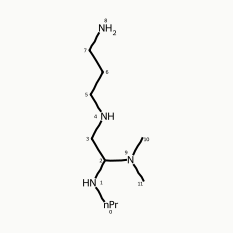 CCCNC(CNCCCN)N(C)C